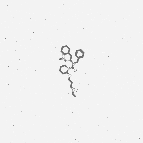 CCOCCCOC1CCCCN1C(=O)N(Cc1ccccc1)[C@H](CNC)CC1CCCCC1